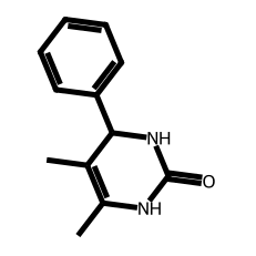 CC1=C(C)C(c2ccccc2)NC(=O)N1